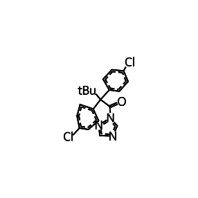 CC(C)(C)C(C(=O)n1cncn1)(c1ccc(Cl)cc1)c1ccc(Cl)cc1